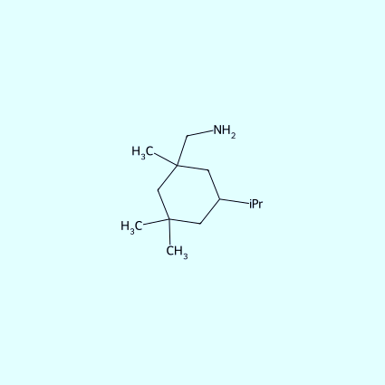 CC(C)C1CC(C)(C)CC(C)(CN)C1